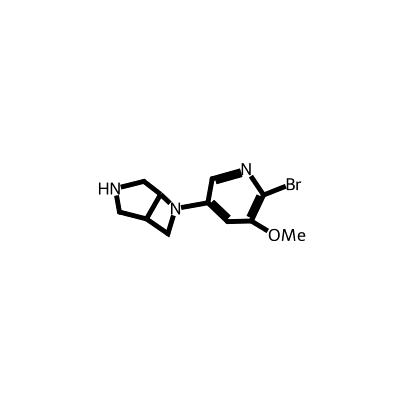 COc1cc(N2CC3CNCC32)cnc1Br